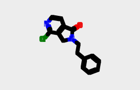 O=C1c2ccnc(Cl)c2CN1CCc1ccccc1